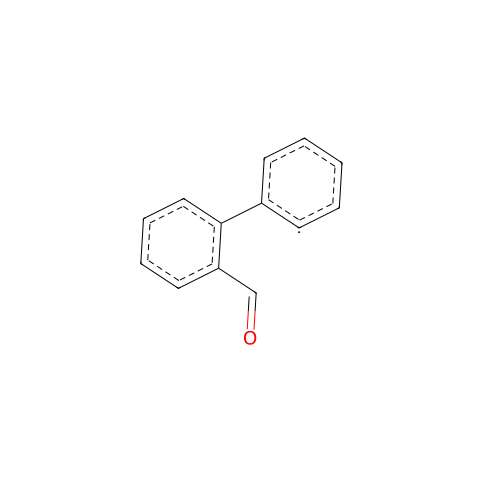 O=Cc1ccccc1-c1[c]cccc1